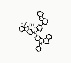 CC1(C)c2ccccc2C2C=CC(N(c3ccc(C4=CC=CC5c6ccccc6SC45)cc3)C3C=c4c(n(-c5ccccc5)c5ccc6ccccc6c45)=CC3)=CC21